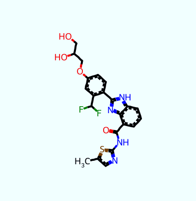 Cc1cnc(NC(=O)c2cccc3[nH]c(-c4ccc(OCC(O)CO)cc4C(F)F)nc23)s1